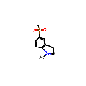 CC(=O)N1CCc2cc(S(C)(=O)=O)ccc21